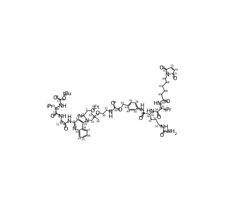 CCOCc1nc2c(NC(=O)[C@H](C)NC(=O)[C@@H](NC(=O)OC(C)(C)C)C(C)C)nc3ccccc3c2n1CC(C)(C)OCCNC(=O)OCc1ccc(NC(=O)[C@H](CCCNC(N)=O)NC(=O)[C@@H](NC(=O)CCCCCN2C(=O)C=CC2=O)C(C)C)cc1